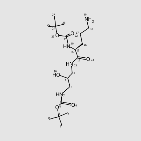 CC(C)(C)OC(=O)NCC(O)CNC(=O)[C@H](CCCN)NC(=O)OC(C)(C)C